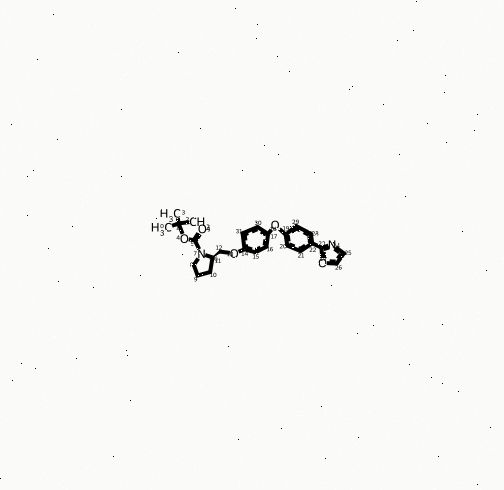 CC(C)(C)OC(=O)N1CCC[C@@H]1COc1ccc(Oc2ccc(-c3ncco3)cc2)cc1